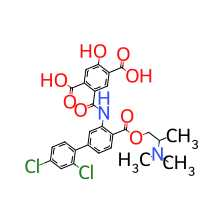 CC(COC(=O)c1ccc(-c2ccc(Cl)cc2Cl)cc1NC(=O)c1cc(C(=O)O)c(O)cc1C(=O)O)N(C)C